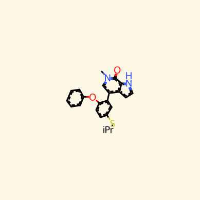 CC(C)Sc1ccc(Oc2ccccc2)c(-c2cn(C)c(=O)c3[nH]ccc23)c1